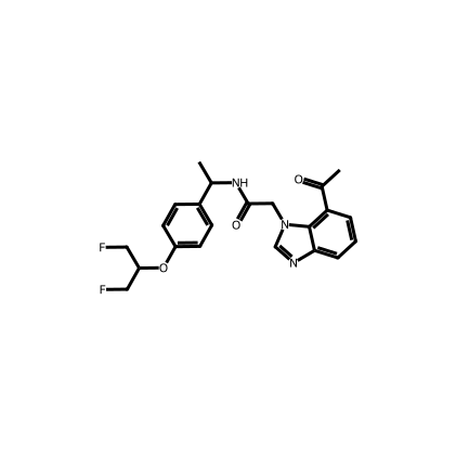 CC(=O)c1cccc2ncn(CC(=O)NC(C)c3ccc(OC(CF)CF)cc3)c12